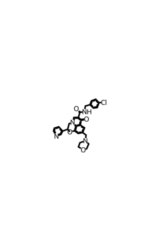 O=C(NCc1ccc(Cl)cc1)c1cn2c3c(cc(CN4CCOCC4)cc3c1=O)OC(c1cccnc1)C2